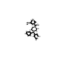 CN(C)c1cncc(C(=O)N2CCN(C(c3ccccc3)c3ccccc3)CC2)c1